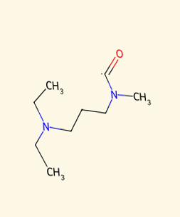 CCN(CC)CCCN(C)[C]=O